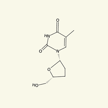 Cc1cn([C@@H]2CC[C@H](CO)O2)c(=O)[nH]c1=O